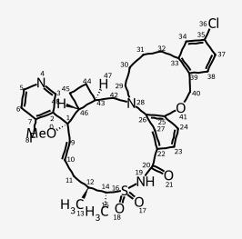 CO[C@@]1(c2cnccc2F)/C=C/C[C@H](C)[C@@H](C)S(=O)(=O)NC(=O)c2ccc3c(c2)N(CCCCc2cc(Cl)ccc2CO3)C[C@@H]2CC[C@H]21